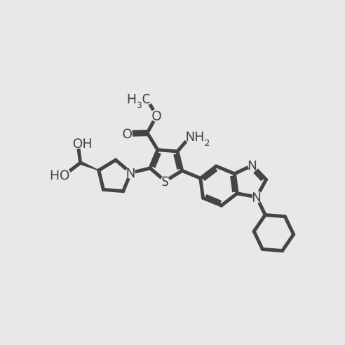 COC(=O)c1c(N2CC[C@@H](C(O)O)C2)sc(-c2ccc3c(c2)ncn3C2CCCCC2)c1N